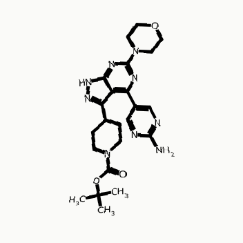 CC(C)(C)OC(=O)N1CCC(c2n[nH]c3nc(N4CCOCC4)nc(-c4cnc(N)nc4)c23)CC1